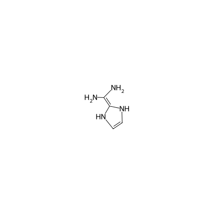 NC(N)=C1NC=CN1